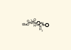 C[C@H](NC(=O)OC(C)(C)C)C(=O)Nc1ccc(/N=N/c2ccccc2)c(N)n1